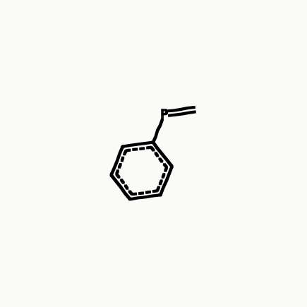 C=Pc1ccccc1